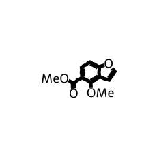 COC(=O)c1ccc2occc2c1OC